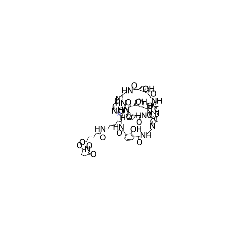 O=C(CCCC(=O)ON1C(=O)CCC1=O)NCCCCC1NC(=O)c2cccc(c2O)C(=O)NCCN2CCNC(=O)c3cccc(c3O)C(=O)NC/C1=N/CCN=C1CNC(=O)c3cccc(c3O)C(=O)NCCN(CCNC(=O)c3cccc(c3O)C(=O)NC1)CC2